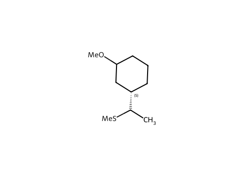 COC1CCC[C@H](C(C)SC)C1